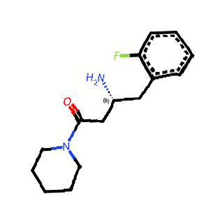 N[C@@H](CC(=O)N1CCCCC1)Cc1ccccc1F